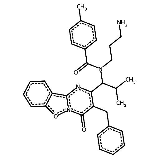 Cc1ccc(C(=O)N(CCCN)C(c2nc3c4ccccc4on3c(=O)c2Cc2ccccc2)C(C)C)cc1